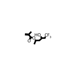 C=C(C)C(=O)OC(C)CC(O)CC(F)(F)F